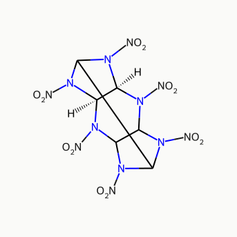 O=[N+]([O-])N1C2C3N([N+](=O)[O-])[C@H]4[C@H](N([N+](=O)[O-])C(C1N4[N+](=O)[O-])N2[N+](=O)[O-])N3[N+](=O)[O-]